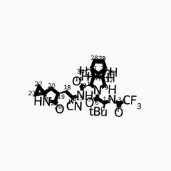 CC(C)(C)[C@H](NC(=O)C(F)(F)F)C(=O)N1C[C@H]2[C@@H]([C@H]1C(=O)N[C@H](C#N)C[C@@H]1CC3(CC3)NC1=O)[C@H]1C=C[C@@H]2C1